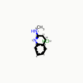 CNC1=Nc2ccccc2CC1.Cl